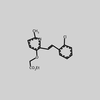 CCOC(=O)COc1ccc(C)nc1/C=C/c1ccccc1Cl